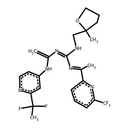 C=C(/N=C(\N=C(/C)c1cccc(C(F)(F)F)n1)NCC1(C)CCCO1)Nc1ccnc(C(C)(F)F)c1